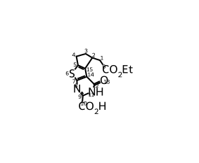 CCOC(=O)CC1CCc2sc3nc(C(=O)O)[nH]c(=O)c3c21